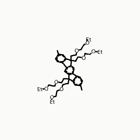 CCOCCOCCC1(CCOCCOCC)c2cc(C)ccc2-c2cc3c(cc21)-c1ccc(C)cc1C3(CCOCCOCC)CCOCCOCC